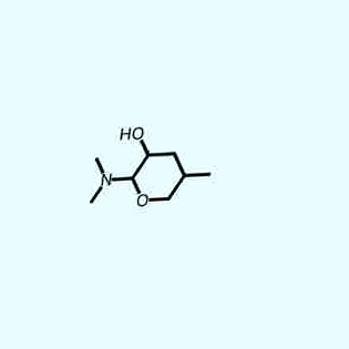 CC1COC(N(C)C)[C](O)C1